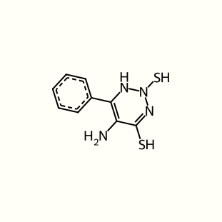 NC1=C(c2ccccc2)NN(S)N=C1S